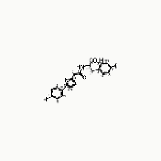 O=C(Cc1csc(-c2ccc(F)cc2)n1)NC(Cc1ccc(F)cc1)C(=O)O